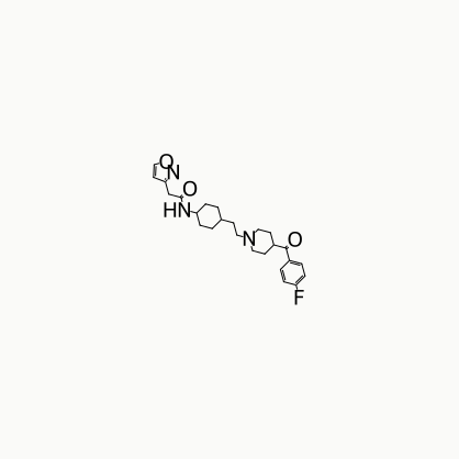 O=C(Cc1ccon1)NC1CCC(CCN2CCC(C(=O)c3ccc(F)cc3)CC2)CC1